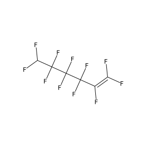 FC(F)=C(F)C(F)(F)C(F)(F)C(F)(F)C(F)F